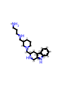 NCCCNCC1CCCN(CC2Cc3c([nH]c4ccccc34)CN2)C1